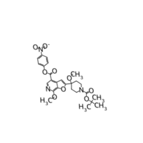 COc1ncc(C(=O)Oc2ccc([N+](=O)[O-])cc2)c2cc(C3(OC)CCN(C(=O)OC(C)(C)C)CC3)oc12